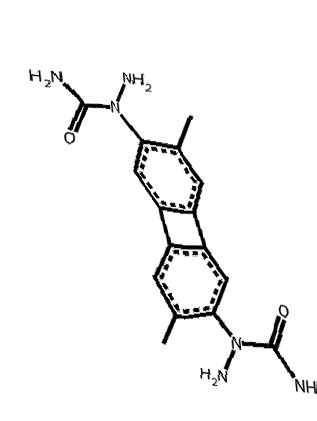 Cc1cc2c(cc1N(N)C(N)=O)-c1cc(C)c(N(N)C(N)=O)cc1-2